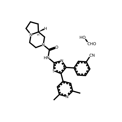 Cc1cc(-c2sc(NC(=O)N3CCN4CCC[C@@H]4C3)nc2-c2cccc(C#N)c2)cc(C)n1.O=CO